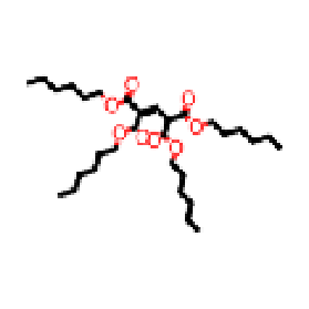 CCCCCCOC(=O)C(=CC(C(=O)OCCCCCC)C(=O)OCCCCCC)C(=O)OCCCCCC